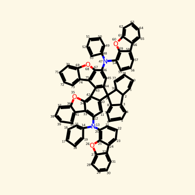 C1=CC2c3ccccc3C3(c4cc(N(c5ccccc5)c5cccc6c5oc5ccccc56)c5c(oc6ccccc65)c4-c4c3cc(N(c3ccccc3)c3cccc5c3oc3ccccc35)c3oc5ccccc5c43)C2C=C1